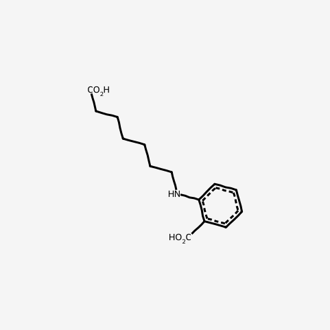 O=C(O)CCCCCCNc1ccccc1C(=O)O